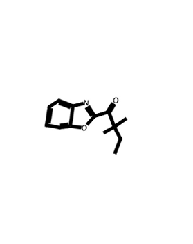 CCC(C)(C)C(=O)c1nc2ccccc2o1